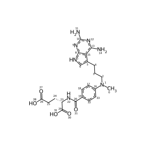 CN(CCCc1c[nH]c2nc(N)nc(N)c12)c1ccc(C(=O)N[C@@H](CCC(=O)O)C(=O)O)cc1